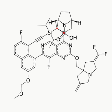 C=C1CN2CC(=C(F)F)CC2(COc2nc(N3C[C@H]4CC[C@@H](C3)N4C(=O)O)c3cnc(-c4cc(OCOC)cc5ccc(F)c(C#C[Si](C(C)C)(C(C)C)C(C)C)c45)c(F)c3n2)C1